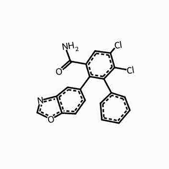 NC(=O)c1cc(Cl)c(Cl)c(-c2ccccc2)c1-c1ccc2ocnc2c1